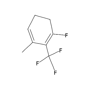 CC1=CCCC(F)=C1C(F)(F)F